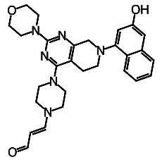 O=CC=CN1CCN(c2nc(N3CCOCC3)nc3c2CCN(c2cc(O)cc4ccccc24)C3)CC1